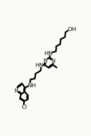 Cc1cc(NCCCCNc2ccnc3cc(Cl)ccc23)nc(NCCCCCCO)n1